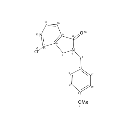 COc1ccc(CN2Cc3c(ccnc3Cl)C2=O)cc1